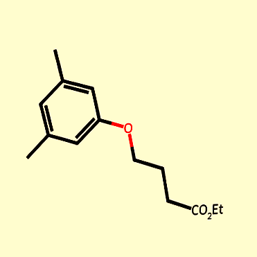 CCOC(=O)CCCOc1cc(C)cc(C)c1